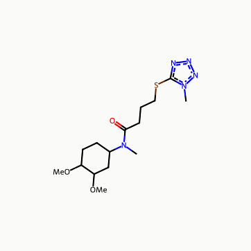 COC1CCC(N(C)C(=O)CCCSc2nnnn2C)CC1OC